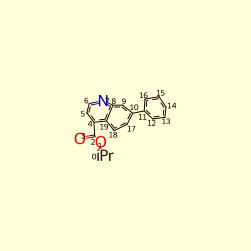 CC(C)OC(=O)c1ccnc2cc(-c3ccccc3)ccc12